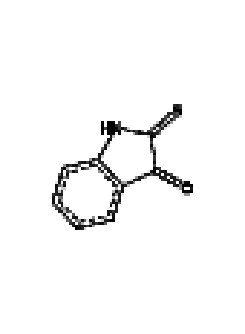 O=C1C(=S)Nc2ccccc21